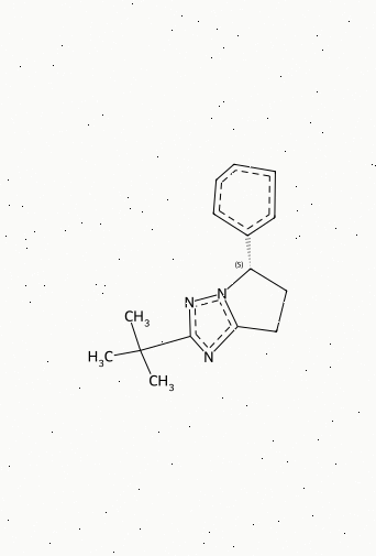 CC(C)(C)c1nc2n(n1)[C@H](c1ccccc1)CC2